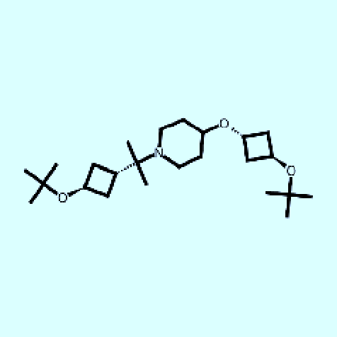 CC(C)(C)O[C@H]1C[C@H](OC2CCN(C(C)(C)[C@H]3C[C@H](OC(C)(C)C)C3)CC2)C1